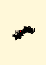 CC=CCC(CCC)C(=O)OC1CC12CC(c1ccc3c(N4CCC(=O)NC4=O)nn(C)c3c1)CCN2